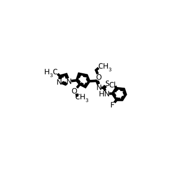 CCO/C(=N\C(=S)Nc1c(F)cccc1Cl)c1ccc(-n2cnc(C)c2)c(OC)c1